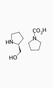 O=C(O)N1CCCC1.OC[C@@H]1CCCN1